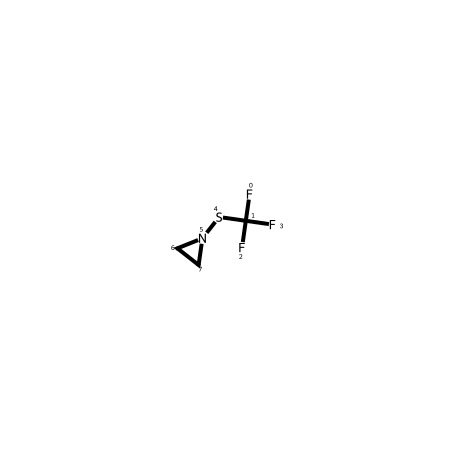 FC(F)(F)SN1CC1